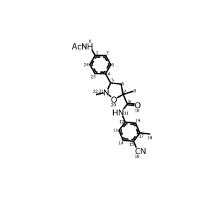 CC(=O)Nc1ccc(C2CC(C)(C(=O)Nc3ccc(C#N)c(C)c3)ON2C)cc1